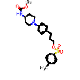 Cc1ccc(S(=O)(=O)OCCCc2ccc(N3CCC(NC(=O)OC(C)(C)C)CC3)cc2)cc1